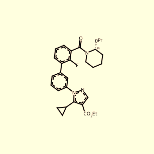 CCC[C@@H]1CCCCN1C(=O)c1cccc(-c2cccc(-n3ncc(C(=O)OCC)c3C3CC3)c2)c1F